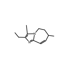 CCc1nc2n(c1C)CCC(C)C=C2